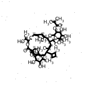 CCC1/C=C(\C)C(C2CCC2)C/C=C/C=C(\COC2OC(C)C(O)C(O)C2OC)C(=O)OC(C(C)O)C/C=C(C)/C=C(\C)C1OC1OC(C)(C)C(O)C(O)C1OC(=O)C(C)C